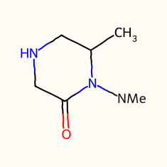 CNN1C(=O)CNCC1C